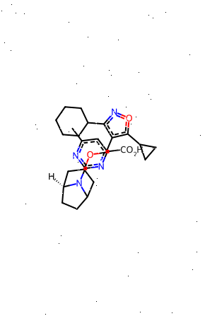 Cc1cc(C(=O)O)nc(N2C3CC[C@H]2CC(OCc2c(C4CCCCC4)noc2C2CC2)C3)n1